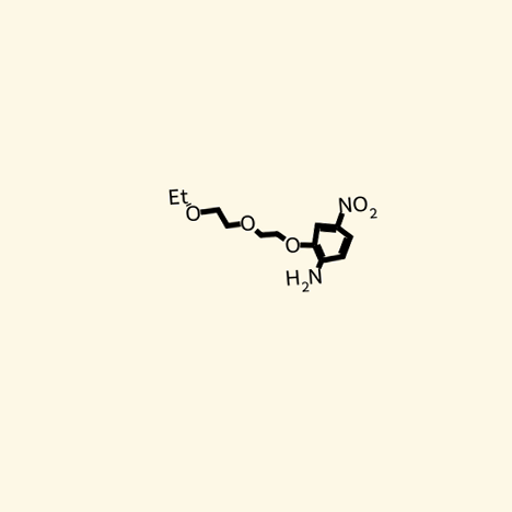 CCOCCOCCOc1cc([N+](=O)[O-])ccc1N